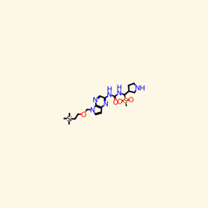 C[Si](C)(C)CCOCn1ccc2nc(NC(=O)NC(C3CCNC3)S(C)(=O)=O)cnc21